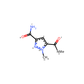 CNC(=O)c1[c]c(C(N)=O)nn1C